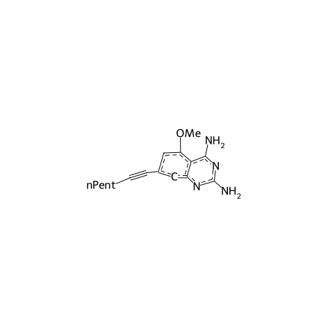 CCCCCC#Cc1cc(OC)c2c(N)nc(N)nc2c1